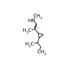 CCC(C)C1CC1/C(C)=C/NC